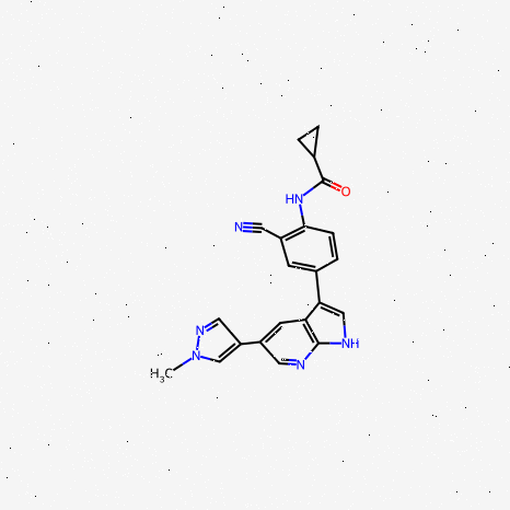 Cn1cc(-c2cnc3[nH]cc(-c4ccc(NC(=O)C5CC5)c(C#N)c4)c3c2)cn1